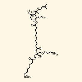 CCCCCCCCCCCCCCCCC(=O)OCC(O)(COOCCN)OC(=O)CCCCCCCCC(=O)O[C@@H]1CC[C@](O)(CCl)[C@@H](C(C)(C)OCC=C(C)C)[C@@H]1OC